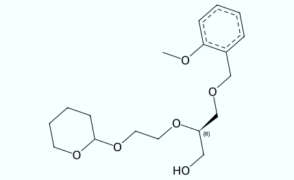 COc1ccccc1COC[C@@H](CO)OCCOC1CCCCO1